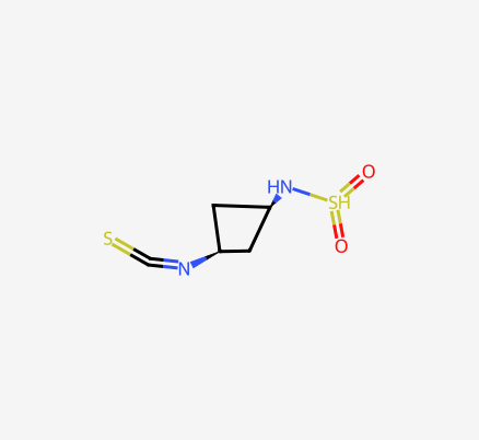 O=[SH](=O)N[C@H]1C[C@@H](N=C=S)C1